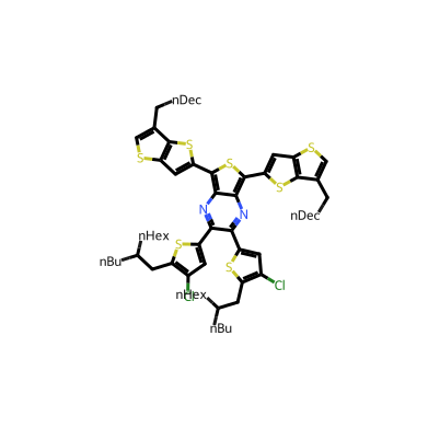 CCCCCCCCCCCc1csc2cc(-c3sc(-c4cc5scc(CCCCCCCCCCC)c5s4)c4nc(-c5cc(Cl)c(CC(CCCC)CCCCCC)s5)c(-c5cc(Cl)c(CC(CCCC)CCCCCC)s5)nc34)sc12